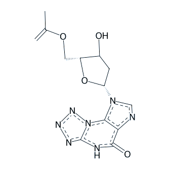 C=C(C)OC[C@H]1O[C@@H](n2cnc3c(=O)[nH]c4nnnn4c32)CC1O